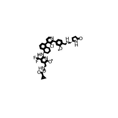 COc1cc(-c2nccc(-c3cccc4c3CCC[C@@H]4Nc3nc(OC)c(CNOC(=O)C4CC4)cc3C(F)(F)F)c2Cl)ccc1CNC[C@@H]1CCC(=O)N1